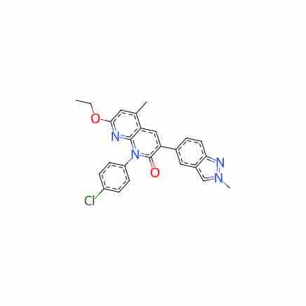 CCOc1cc(C)c2cc(-c3ccc4nn(C)cc4c3)c(=O)n(-c3ccc(Cl)cc3)c2n1